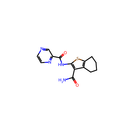 NC(=O)c1c(NC(=O)c2cnccn2)sc2c1CCCC2